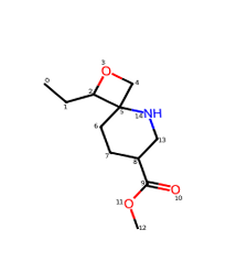 CCC1OCC12CCC(C(=O)OC)CN2